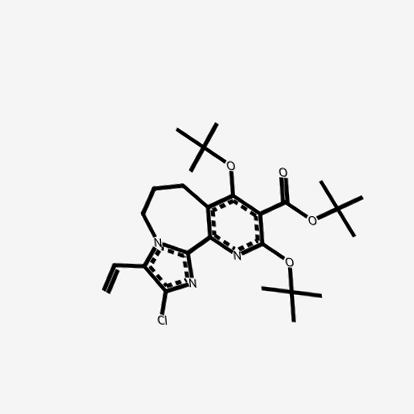 C=Cc1c(Cl)nc2n1CCCc1c-2nc(OC(C)(C)C)c(C(=O)OC(C)(C)C)c1OC(C)(C)C